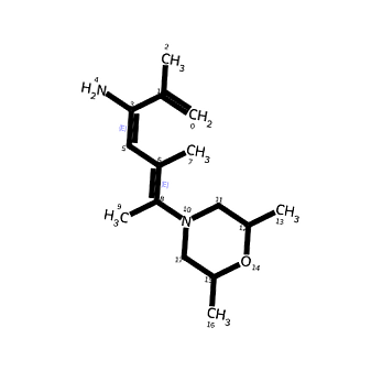 C=C(C)/C(N)=C\C(C)=C(/C)N1CC(C)OC(C)C1